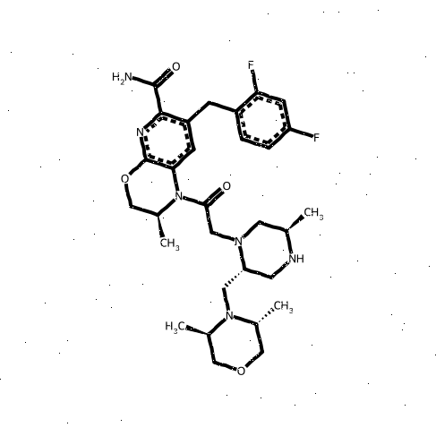 C[C@@H]1CN(CC(=O)N2c3cc(Cc4ccc(F)cc4F)c(C(N)=O)nc3OC[C@@H]2C)[C@@H](CN2[C@H](C)COC[C@H]2C)CN1